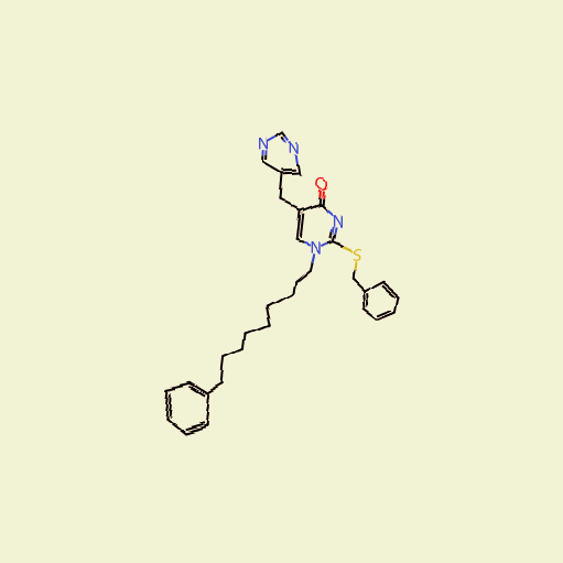 O=c1nc(SCc2ccccc2)n(CCCCCCCCCc2ccccc2)cc1Cc1cncnc1